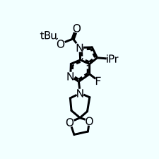 CC(C)c1cn(C(=O)OC(C)(C)C)c2cnc(N3CCC4(CC3)OCCO4)c(F)c12